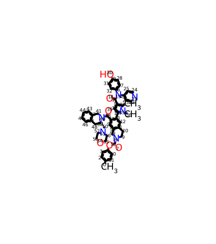 Cc1ccc(OC(=O)N2CCc3cc(-c4cc(C(=O)N(c5ccncc5)c5ccc(O)cc5)c(C)n4C)c(C(=O)N4Cc5ccccc5C[C@H]4CN4CCOCC4)cc3C2)cc1